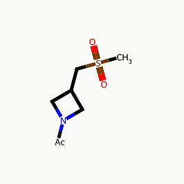 CC(=O)N1CC(CS(C)(=O)=O)C1